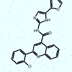 O=C(Nc1ncc(-c2ccco2)[nH]1)c1cc(-c2ccccc2Cl)nc2ccccc12